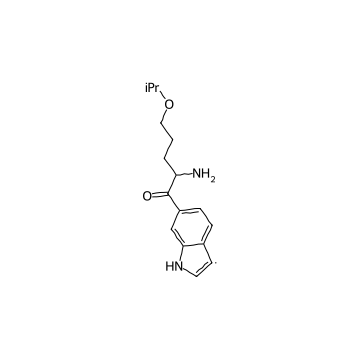 CC(C)OCCCC(N)C(=O)c1ccc2[c]c[nH]c2c1